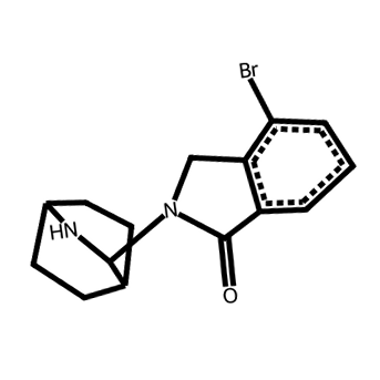 O=C1c2cccc(Br)c2CN1C1NC2CCC1CC2